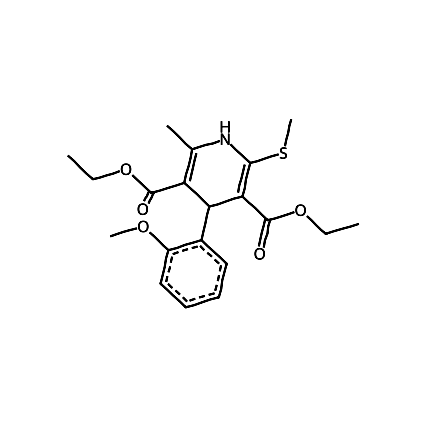 CCOC(=O)C1=C(C)NC(SC)=C(C(=O)OCC)C1c1ccccc1OC